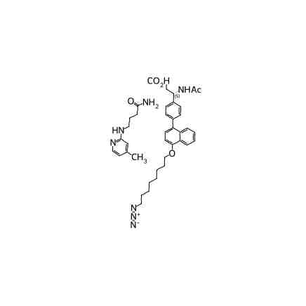 CC(=O)N[C@@H](CC(=O)O)c1ccc(-c2ccc(OCCCCCCCCN=[N+]=[N-])c3ccccc23)cc1.Cc1ccnc(NCCCC(N)=O)c1